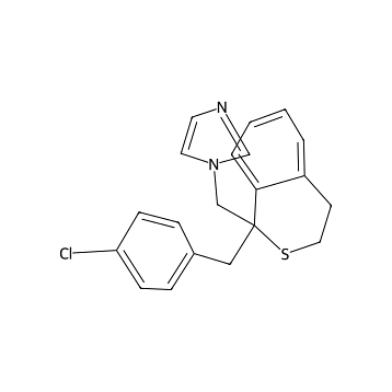 Clc1ccc(CC2(Cn3ccnc3)SCCc3ccccc32)cc1